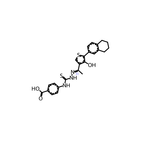 C/C(=N\NC(=S)Nc1ccc(C(=O)O)cc1)c1csc(-c2ccc3c(c2)CCCC3)c1O